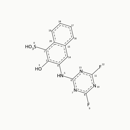 O=S(=O)(O)c1c(O)c(Nc2nc(F)nc(F)n2)cc2ccccc12